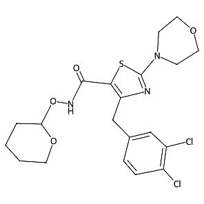 O=C(NOC1CCCCO1)c1sc(N2CCOCC2)nc1Cc1ccc(Cl)c(Cl)c1